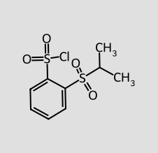 CC(C)S(=O)(=O)c1ccccc1S(=O)(=O)Cl